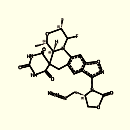 C[C@@H]1O[C@H](C)C(F)N2c3cc4onc(N5C(=O)OC[C@@H]5CN=[N+]=[N-])c4cc3CC3(C(=O)NC(=O)NC3=O)[C@@H]12